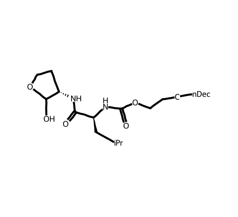 CCCCCCCCCCCCCOC(=O)N[C@@H](CC(C)C)C(=O)N[C@H]1CCOC1O